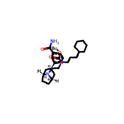 CC(C)(C)OC(=O)N(CCCC1CCCCC1)CCN1[C@@H]2CC[C@H]1C[C@@H](c1cccc(C(N)=O)c1)C2